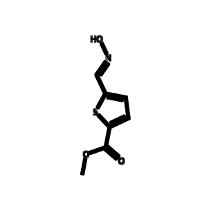 COC(=O)c1ccc(C=NO)s1